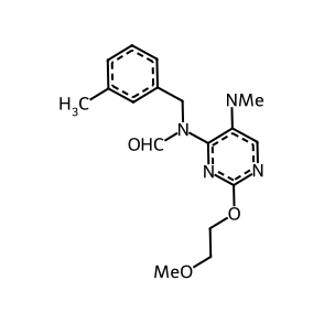 CNc1cnc(OCCOC)nc1N(C=O)Cc1cccc(C)c1